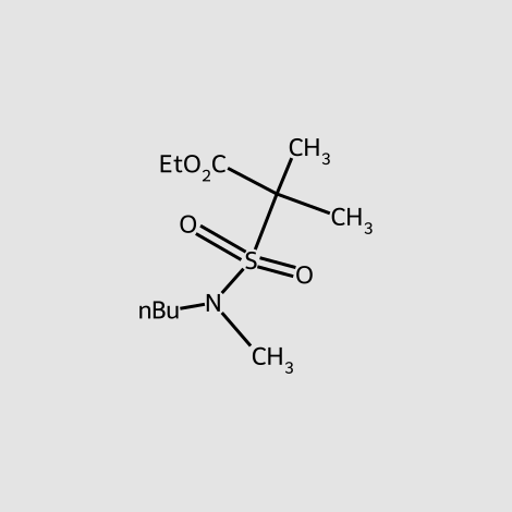 CCCCN(C)S(=O)(=O)C(C)(C)C(=O)OCC